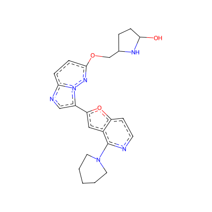 OC1CCC(COc2ccc3ncc(-c4cc5c(N6CCCCC6)nccc5o4)n3n2)N1